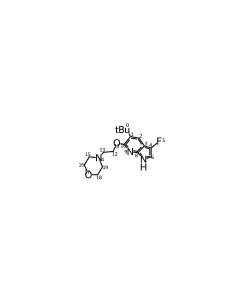 CC(C)(C)c1cc2c(F)c[nH]c2nc1OCCN1CCOCC1